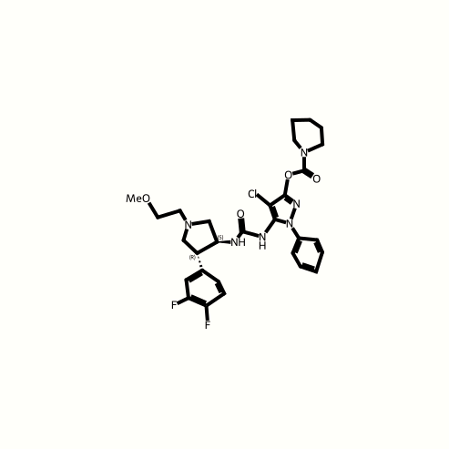 COCCN1C[C@@H](NC(=O)Nc2c(Cl)c(OC(=O)N3CCCCC3)nn2-c2ccccc2)[C@H](c2ccc(F)c(F)c2)C1